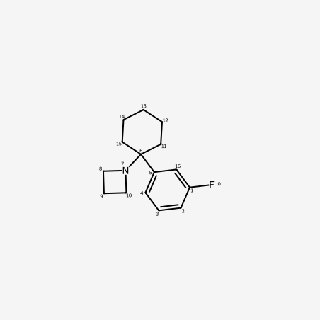 Fc1cccc(C2(N3CCC3)CCCCC2)c1